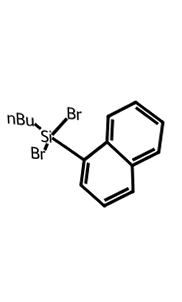 CCCC[Si](Br)(Br)c1cccc2ccccc12